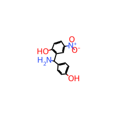 NC(c1ccc(O)cc1)c1cc([N+](=O)[O-])ccc1O